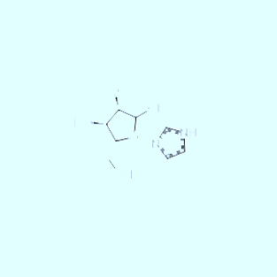 OC[C@H]1OC(O)[C@H](O)[C@@H]1O.c1c[nH]cn1